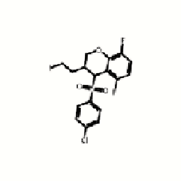 O=S(=O)(c1ccc(Cl)cc1)C1c2c(F)ccc(F)c2OCC1CCI